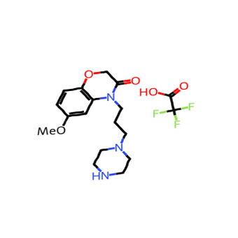 COc1ccc2c(c1)N(CCCN1CCNCC1)C(=O)CO2.O=C(O)C(F)(F)F